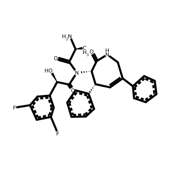 C[C@H](N)C(=O)N(C(=O)[C@H](O)c1cc(F)cc(F)c1)[C@@H]1C(=O)NCC(c2ccccc2)=C[C@@H]1c1ccccc1